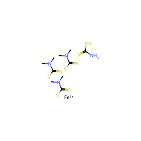 CN(C)C(=S)[S-].CN(C)C(=S)[S-].CN(C)C(=S)[S-].NC(=S)S.[Fe+3]